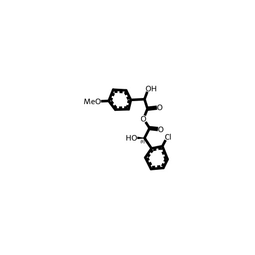 COc1ccc(C(O)C(=O)OC(=O)[C@H](O)c2ccccc2Cl)cc1